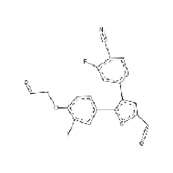 N#Cc1ccc(-c2cc(C=O)sc2-c2ccc(OCC=O)c(F)c2)cc1F